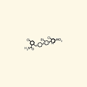 CCC1CN(c2ncc([N+](=O)[O-])cc2Cl)CCN1C1CCN(Cc2ccc(Cl)cc2C(N)=O)CC1